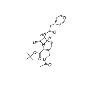 CC(=O)OCC1=C(C(=O)OC(C)(C)C)N2C(=O)[C@@H](NC(=O)Cc3ccncc3)[C@@H]2SC1